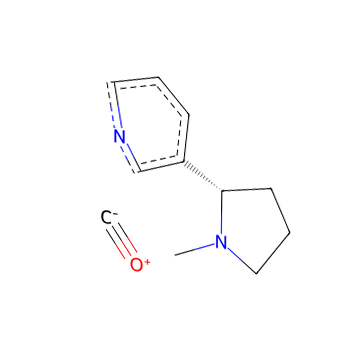 CN1CCC[C@H]1c1cccnc1.[C-]#[O+]